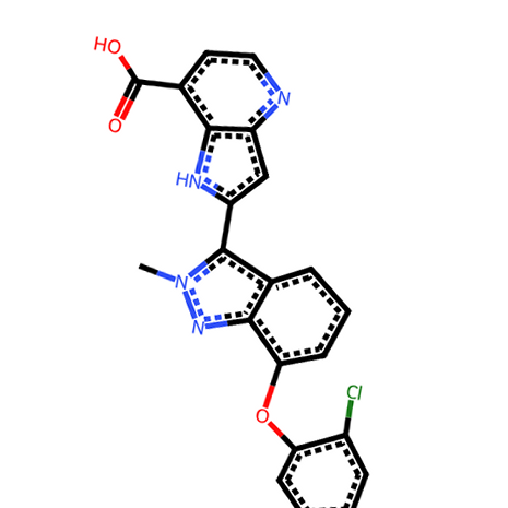 Cn1nc2c(Oc3ccccc3Cl)cccc2c1-c1cc2nccc(C(=O)O)c2[nH]1